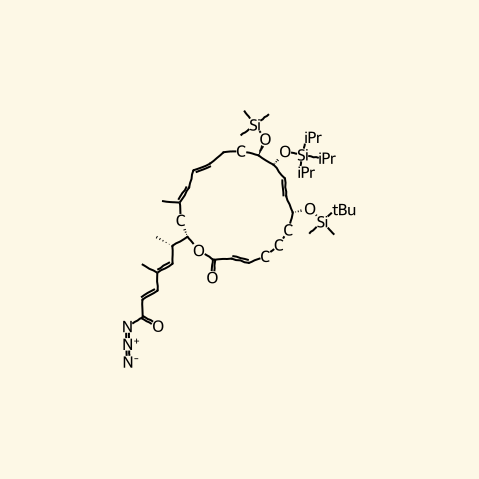 CC(/C=C/C(=O)N=[N+]=[N-])=C\[C@H](C)[C@@H]1C/C(C)=C/C=C/CC[C@@H](O[Si](C)(C)C)[C@H](O[Si](C(C)C)(C(C)C)C(C)C)/C=C/[C@H](O[Si](C)(C)C(C)(C)C)CCC/C=C/C(=O)O1